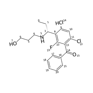 CC[C@@H](NCCCO)c1ccc(Cl)c(C(=O)c2ccccc2)c1F.Cl